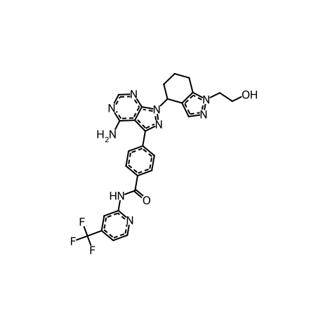 Nc1ncnc2c1c(-c1ccc(C(=O)Nc3cc(C(F)(F)F)ccn3)cc1)nn2C1CCCc2c1cnn2CCO